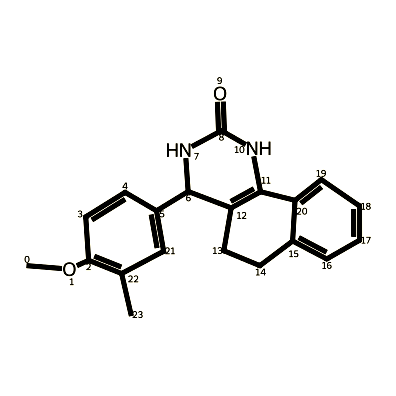 COc1ccc(C2NC(=O)NC3=C2CCc2ccccc23)cc1C